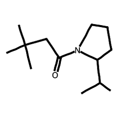 CC(C)C1CCCN1C(=O)CC(C)(C)C